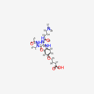 CCN(NC(C)=O)C(=O)C(NC(=O)CCCN(C)C)Nc1ccc(OCCCC(=O)O)cc1